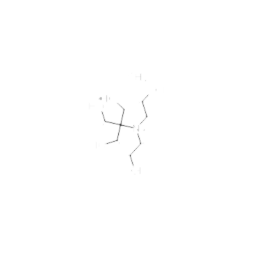 C.OCCN(CCO)C(CO)(CO)CO